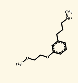 CNCCCc1cccc(OCCOC)c1